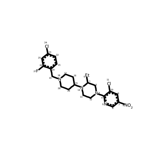 CCC1CN(c2ncc([N+](=O)[O-])cc2Cl)CCN1C1CCN(Cc2ccc(Cl)cc2F)CC1